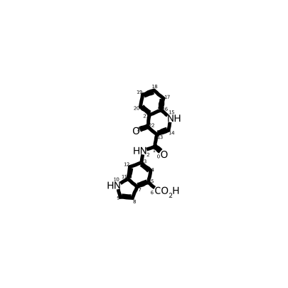 O=C(Nc1cc(C(=O)O)c2cc[nH]c2c1)c1c[nH]c2ccccc2c1=O